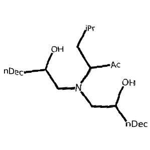 CCCCCCCCCCC(O)CN(CC(O)CCCCCCCCCC)C(CC(C)C)C(C)=O